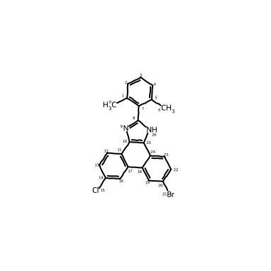 Cc1cccc(C)c1-c1nc2c3ccc(Cl)cc3c3cc(Br)ccc3c2[nH]1